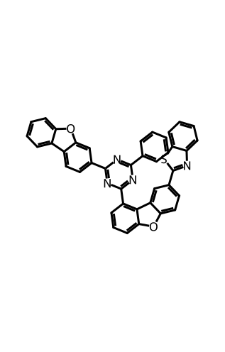 c1ccc(-c2nc(-c3ccc4c(c3)oc3ccccc34)nc(-c3cccc4oc5ccc(-c6nc7ccccc7s6)cc5c34)n2)cc1